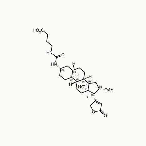 CC(=O)O[C@H]1C[C@]2(O)[C@@H]3CC[C@@H]4C[C@@H](NC(=O)NCCCC(=O)O)CC[C@]4(C)[C@H]3CC[C@]2(C)[C@H]1C1=CC(=O)OC1